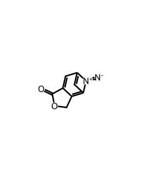 [N-]=[n+]1c2cc3c(c1c2)COC3=O